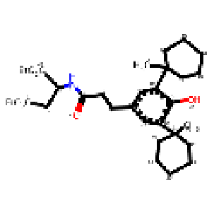 CCOC(=O)CC(NC(=O)CCc1cc(C2(C)CCCCC2)c(O)c(C2(C)CCCCC2)c1)C(=O)OCC